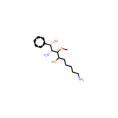 COC(C(O)CCCCCN)[C@H](N)[C@@H](O)c1ccccc1